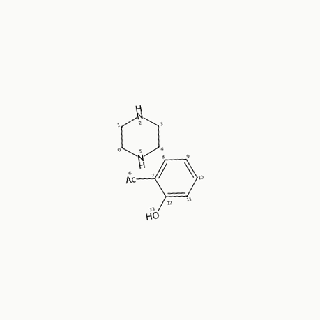 C1CNCCN1.CC(=O)c1ccccc1O